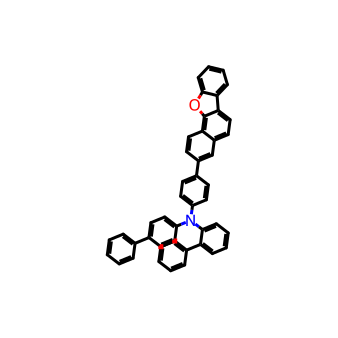 c1ccc(-c2ccc(N(c3ccc(-c4ccc5c(ccc6c7ccccc7oc56)c4)cc3)c3ccccc3-c3ccccc3)cc2)cc1